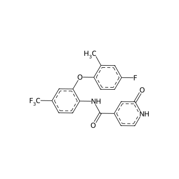 Cc1cc(F)ccc1Oc1cc(C(F)(F)F)ccc1NC(=O)c1cc[nH]c(=O)c1